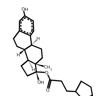 C[C@]12CC[C@@H]3c4ccc(O)cc4CC[C@H]3[C@@H]1CC[C@@]2(O)OC(=O)CCC1CCCC1